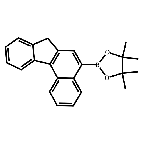 CC1(C)OB(c2cc3c(c4ccccc24)-c2ccccc2C3)OC1(C)C